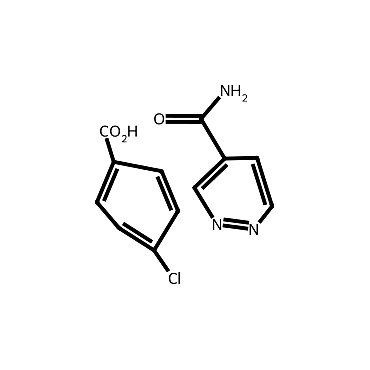 NC(=O)c1ccnnc1.O=C(O)c1ccc(Cl)cc1